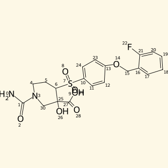 NC(=O)N1CCC(S(=O)(=O)c2ccc(OCc3ccccc3F)cc2)C(O)(C(=O)O)C1